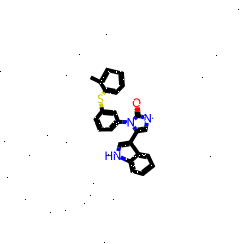 Cc1ccccc1Sc1cccc(N2C(=O)[N]C=C2c2c[nH]c3ccccc23)c1